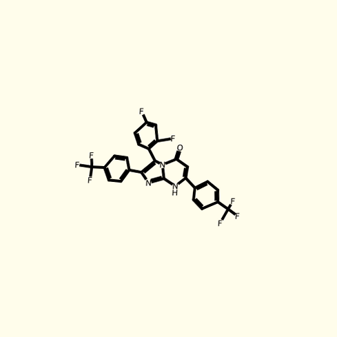 O=c1cc(-c2ccc(C(F)(F)F)cc2)[nH]c2nc(-c3ccc(C(F)(F)F)cc3)c(-c3ccc(F)cc3F)n12